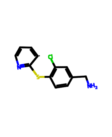 NCc1ccc(Sc2[c]cccn2)c(Cl)c1